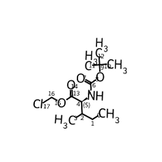 CCC(C)[C@H](NC(=O)OC(C)(C)C)C(=O)OCCl